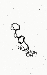 O[Si](O)(O)Cc1ccc(OC2CCCCO2)cc1